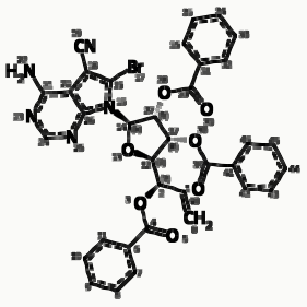 C=C[C@@H](OC(=O)c1ccccc1)[C@H]1O[C@@H](n2c(Br)c(C#N)c3c(N)ncnc32)[C@H](OC(=O)c2ccccc2)[C@@H]1OC(=O)c1ccccc1